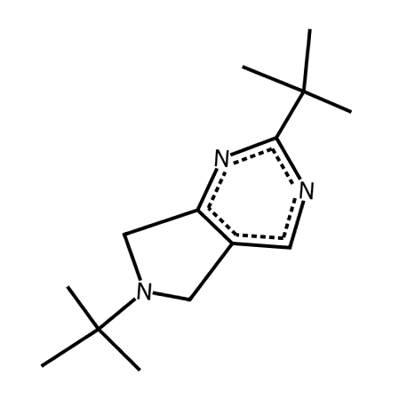 CC(C)(C)c1ncc2c(n1)CN(C(C)(C)C)C2